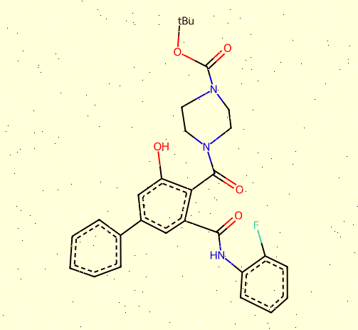 CC(C)(C)OC(=O)N1CCN(C(=O)c2c(O)cc(-c3ccccc3)cc2C(=O)Nc2ccccc2F)CC1